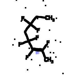 CCC(F)(F)CC(F)(F)/C(F)=C(/C)F